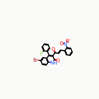 O=C(/C=C/c1ccccc1[N+](=O)[O-])c1c(-c2ccccc2F)c2cc(Br)ccc2[nH]c1=O